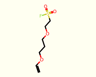 C=COCCCOCCS(=O)(=O)F